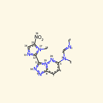 CN=CN(C)c1ccc2nnc(-c3ncc([N+](=O)[O-])n3C)n2n1